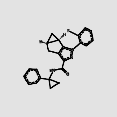 O=C(NC1(c2ccccc2)CC1)c1nn(-c2ccccc2F)c2c1C[C@H]1C[C@@H]21